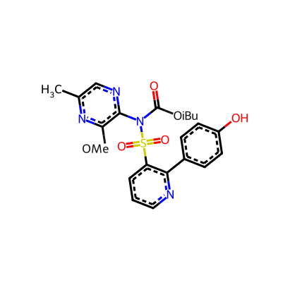 COc1nc(C)cnc1N(C(=O)OCC(C)C)S(=O)(=O)c1cccnc1-c1ccc(O)cc1